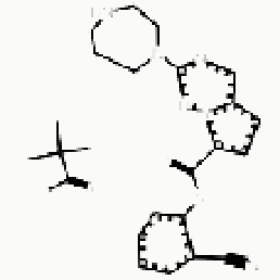 N#Cc1ccccc1NC(=O)c1ccc2cnc(N3CCCNCC3)nn12.O=C(O)C(F)(F)F